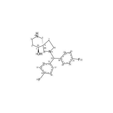 O[C@H]1CCNC[C@@]12CCN(C(c1ccc(F)cc1)c1ccc(F)cc1)C2